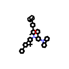 Cc1cc(-c2ccc(C34CC5CC(CC(C5)C3)C4)cc2)cc(C)c1N(c1ccc2c(c1)C(C)(C)c1cc(-c3ccccc3)ccc1-2)c1ccc(-n2c3ccccc3c3ccccc32)cc1-c1ccccc1